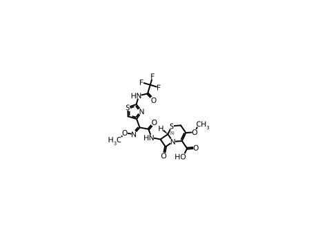 CON=C(C(=O)NC1C(=O)N2C(C(=O)O)=C(OC)CS[C@@H]12)c1csc(NC(=O)C(F)(F)F)n1